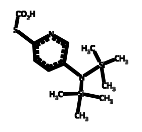 C[Si](C)(C)N(c1ccc(SC(=O)O)nc1)[Si](C)(C)C